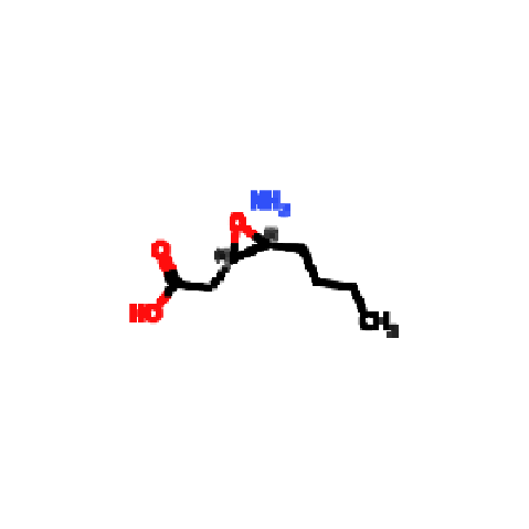 CCCC[C@@H]1O[C@H]1CC(=O)O.N